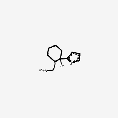 CNCC1CCCCC1(O)c1cccs1